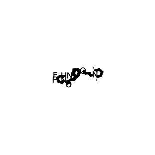 C[C@@H]1CCC[C@H](C)N1CCCOc1ccc2[nH]c(C(=O)N3CCC(F)(F)CC3)cc2c1